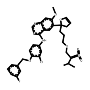 COc1cc2ncnc(Nc3ccc(OCc4cccc(F)c4)c(Cl)c3)c2cc1C1(CCCOCC(C(C)C)=S(=O)=O)CC=CO1